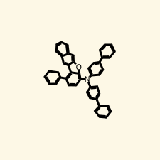 C1=CCCC(c2ccc(N(c3ccc(-c4ccccc4)cc3)c3ccc(-c4ccccc4)cc3)c3oc4cc5ccccc5cc4c23)=C1